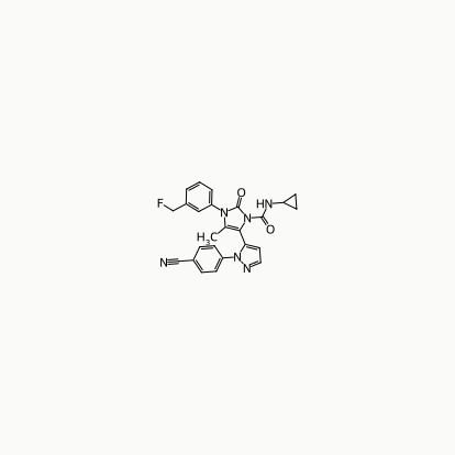 Cc1c(-c2ccnn2-c2ccc(C#N)cc2)n(C(=O)NC2CC2)c(=O)n1-c1cccc(CF)c1